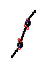 CCCCCCCCON1CCC(C)(OC(=O)CCCCCCCCC(=O)OC2(C)CCN(OCCCCCCCC)C(C)(C)C2(C)C)C(C)(C)C1(C)C